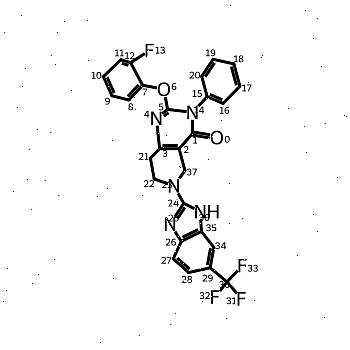 O=c1c2c(nc(Oc3ccccc3F)n1-c1ccccc1)CCN(c1nc3ccc(C(F)(F)F)cc3[nH]1)C2